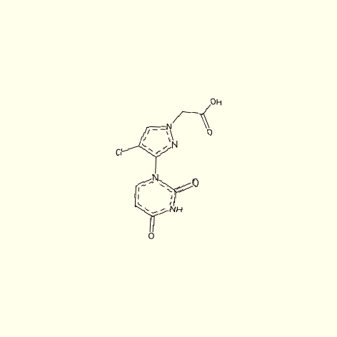 O=C(O)Cn1cc(Cl)c(-n2ccc(=O)[nH]c2=O)n1